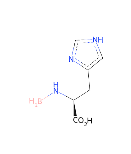 BN[C@@H](Cc1c[nH]cn1)C(=O)O